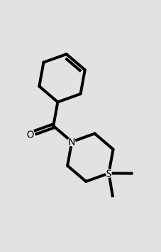 CS1(C)CCN(C(=O)C2CC=CCC2)CC1